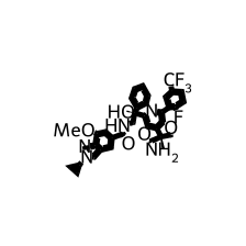 COc1cc(C(=O)NC[C@@](O)(c2ccccc2)c2cc3c(c(-c4cc(C(F)(F)F)ccc4F)n2)OC[C@]3(C)C(N)=O)cc2cn(C3CC3)nc12